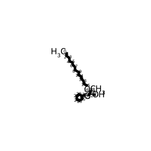 CCCCCCCCCCCCCCCCO[C@@H](C)[C@H](CO)OCc1ccccc1